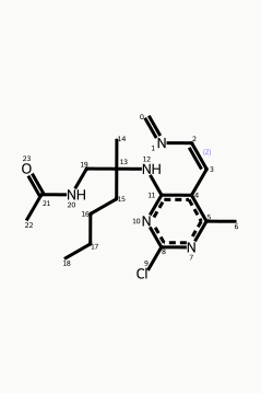 C=N/C=C\c1c(C)nc(Cl)nc1NC(C)(CCCC)CNC(C)=O